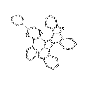 c1ccc(-c2cnc(-n3c4ccc5ccccc5c4c4c5ccccc5c5sc6ccccc6c5c43)c(-c3ccccc3)n2)cc1